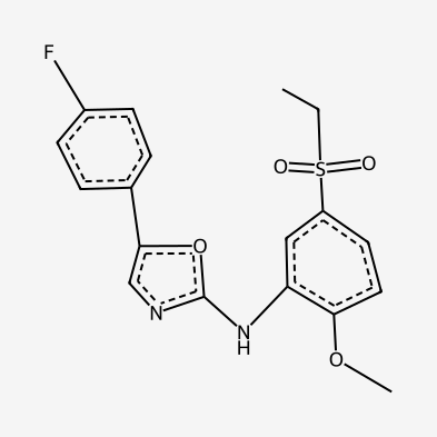 CCS(=O)(=O)c1ccc(OC)c(Nc2ncc(-c3ccc(F)cc3)o2)c1